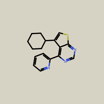 c1ccc(-c2ncnc3scc(C4CCCCC4)c23)nc1